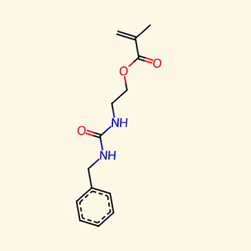 C=C(C)C(=O)OCCNC(=O)NCc1ccccc1